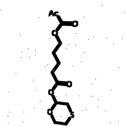 CC(=O)C(=O)OCCCCC(=O)OC1CSCCO1